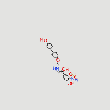 C[C@H](NCCOc1ccc(-c2ccc(O)cc2)cc1)[C@H](O)c1ccc(O)c(NS(C)(=O)=O)c1